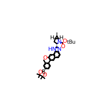 C[C@@H]1[C@@H]2C[C@@H](c3nc4ccc5cc6c(cc5c4[nH]3)OCc3cc(B4OC(C)(C)C(C)(C)O4)ccc3-6)N(C(=O)OC(C)(C)C)[C@H]12